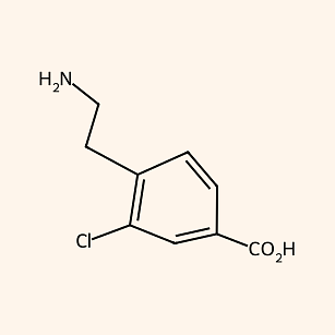 NCCc1ccc(C(=O)O)cc1Cl